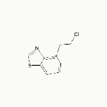 ClCCc1cccc2scnc12